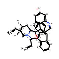 C=CCO[C@H](c1ccnc2ccccc12)[C@@H]1C[C@@H]2CC[N+]1(Cc1c3ccccc3cc3ccccc13)C[C@@H]2C=C.[Br-]